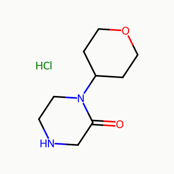 Cl.O=C1CNCCN1C1CCOCC1